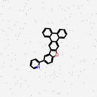 c1ccc(-c2ccc3oc4cc5c6ccccc6c6ccccc6c5cc4c3c2)nc1